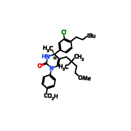 COCCC(C)(C)CC1=CN(c2ccc(C(=O)O)cc2)C(=O)N[C@@]1(C)c1ccc(CCC(C)(C)C)c(Cl)c1